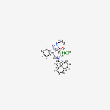 CN1CN(c2ccccc2)C2(CCN(C3Cc4cccc5cccc3c45)CC2)C1=O.Cl